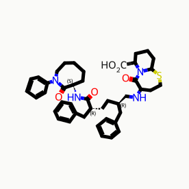 O=C(O)C1CCCC2SCCC(NC[C@H](CC[C@H](Cc3ccccc3)C(=O)N[C@H]3CCCCCN(c4ccccc4)C3=O)Cc3ccccc3)C(=O)N21